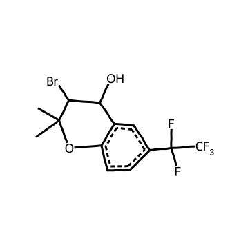 CC1(C)Oc2ccc(C(F)(F)C(F)(F)F)cc2C(O)C1Br